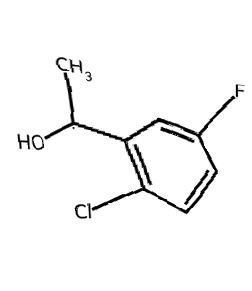 C[C](O)c1cc(F)ccc1Cl